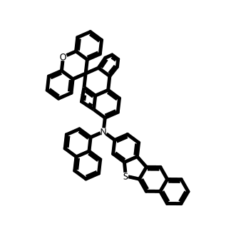 c1ccc2c(c1)Oc1ccccc1C21c2ccccc2-c2ccc(N(c3ccc4c(c3)sc3cc5ccccc5cc34)c3cccc4ccccc34)c3cccc1c23